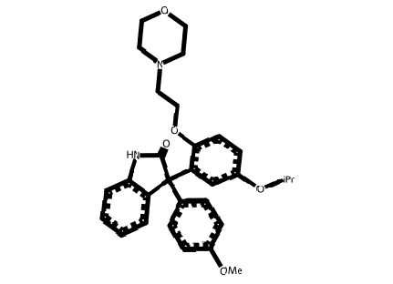 COc1ccc(C2(c3cc(OC(C)C)ccc3OCCN3CCOCC3)C(=O)Nc3ccccc32)cc1